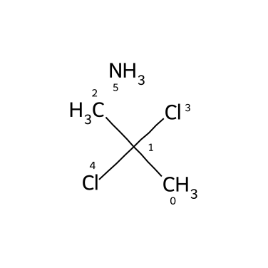 CC(C)(Cl)Cl.N